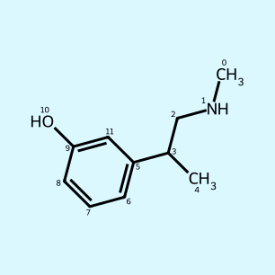 CNCC(C)c1cccc(O)c1